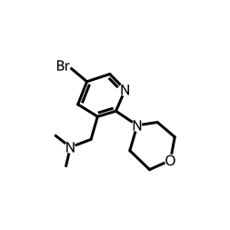 CN(C)Cc1cc(Br)cnc1N1CCOCC1